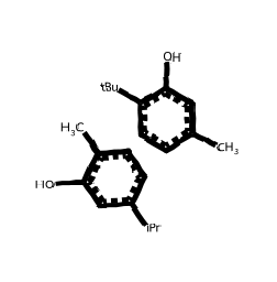 Cc1ccc(C(C)(C)C)c(O)c1.Cc1ccc(C(C)C)cc1O